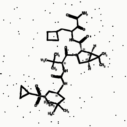 CN(C[C@H](CC(C)(C)C)NC(=O)N[C@H](C(=O)N1C[C@H]2[C@@H]([C@H]1C(=O)NC(CC1CCC1)C(=O)C(N)=O)C2(C)C)C(C)(C)C)S(=O)(=O)C1CC1